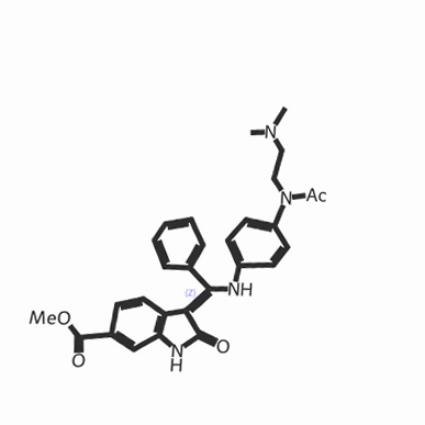 COC(=O)c1ccc2c(c1)NC(=O)/C2=C(\Nc1ccc(N(CCN(C)C)C(C)=O)cc1)c1ccccc1